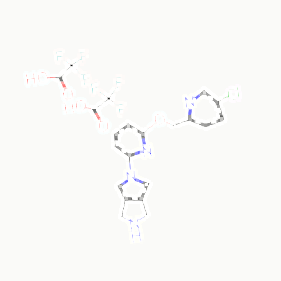 Clc1ccc(COc2cccc(-n3cc4c(c3)CNC4)n2)nc1.O=C(O)C(F)(F)F.O=C(O)C(F)(F)F